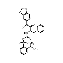 C=C(C)c1ccccc1S(=O)(=O)NC(=O)NC(Cc1ccccc1)C(=O)N(C)c1ccc2c(c1)OCO2